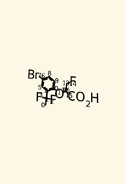 CC(F)(F)c1cc(Br)ccc1O[C@@H](CF)C(=O)O